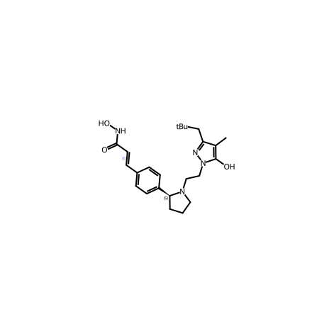 Cc1c(CC(C)(C)C)nn(CCN2CCC[C@H]2c2ccc(/C=C/C(=O)NO)cc2)c1O